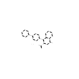 COC(=O)c1cc(OC(C)=O)c2ccccc2c1-c1ccc(-c2ccccc2)cc1